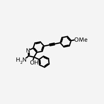 COc1ccc(C#Cc2ccc3c(c2)C(O)(c2ccccc2)C(N)=N3)cc1